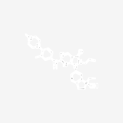 C=CCn1c(=O)c2cnc(Nc3ccc(N4CCN(C)CC4)c(C)c3)nc2n1-c1ccc2c(c1)[C@](O)(CC)CC2